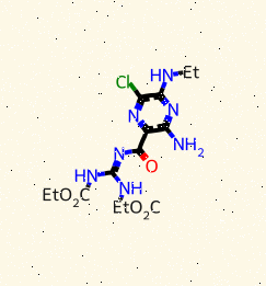 CCNc1nc(N)c(C(=O)N=C(NC(=O)OCC)NC(=O)OCC)nc1Cl